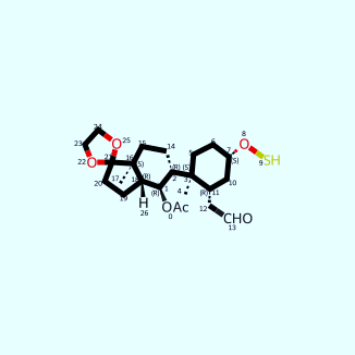 CC(=O)O[C@@H]1[C@@H]([C@@]2(C)CC[C@H](OS)C[C@@H]2CC=O)CC[C@@]2(C)[C@H]1CCC21OCCO1